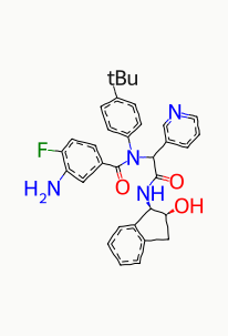 CC(C)(C)c1ccc(N(C(=O)c2ccc(F)c(N)c2)C(C(=O)N[C@@H]2c3ccccc3C[C@@H]2O)c2cccnc2)cc1